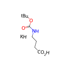 CC(C)(C)OC(=O)NCCCC(=O)O.[KH]